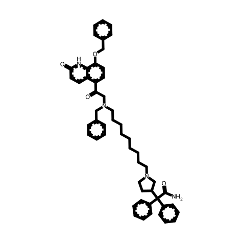 NC(=O)C(c1ccccc1)(c1ccccc1)C1CCN(CCCCCCCCCN(CC(=O)c2ccc(OCc3ccccc3)c3[nH]c(=O)ccc23)Cc2ccccc2)C1